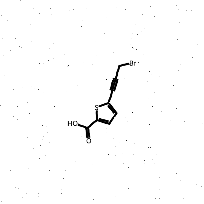 O=C(O)c1ccc(C#CCBr)s1